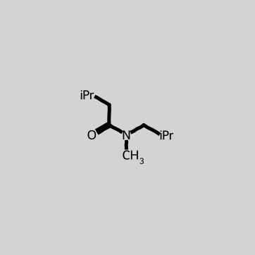 CC(C)CC(=O)N(C)CC(C)C